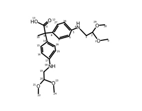 COC(CNc1ccc(C(C)(C(=O)O)c2ccc(NCC(OC)OC)cc2)cc1)OC